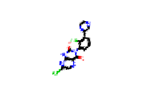 O=c1[nH]c2nc(Cl)cnc2c(=O)n1-c1cccc(-c2cnccn2)c1Cl